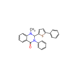 CN1c2ccccc2C(=O)N(c2ccccc2)C1c1ccc(-c2ccccc2)s1